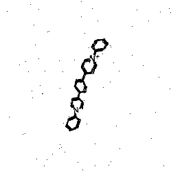 c1ccc(-[n+]2ccc(-c3ccc(-c4cc[n+](-c5ccccc5)cc4)cc3)cc2)cc1